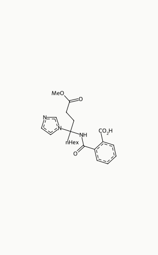 CCCCCCC(CCC(=O)OC)(NC(=O)c1ccccc1C(=O)O)n1ccnc1